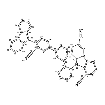 N#CC1=CC2c3cccc(C#N)c3N(c3ccccc3-c3cccc(-c4ccc(-n5c6ccccc6c6ccccc65)c(C#N)c4)c3)C2C=C1